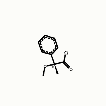 CO[C@@](C)(C(=O)Cl)c1ccccc1